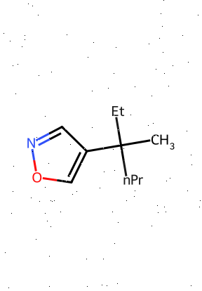 CCCC(C)(CC)c1cnoc1